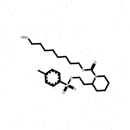 CCCCCCCCCCCCCCCCCCOC(=O)N1CCCCC1CCOS(=O)(=O)c1ccc(C)cc1